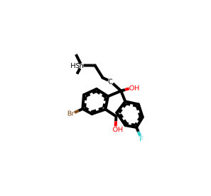 [CH3][SnH]([CH3])[CH2]CCC(O)(c1ccc(F)cc1)c1ccc(Br)cc1CO